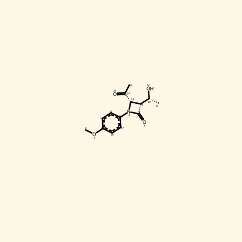 COc1ccc(N2C(=O)[C@@H]([C@@H](C)O)[C@H]2C(C)=O)cc1